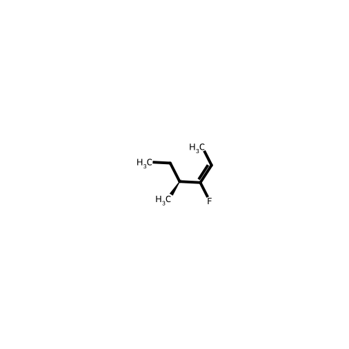 C/C=C(/F)[C@@H](C)CC